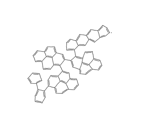 [c]1ccc2cc3cc4cccc(-c5c(-c6cc7ccc8cccc9ccc(c6-c6cc%10cccc%11ccc%12c(-c%13ccccc%13-c%13ccccc%13)ccc6c%12c%11%10)c7c89)cc6ccc7cccc8ccc5c6c78)c4cc3cc2c1